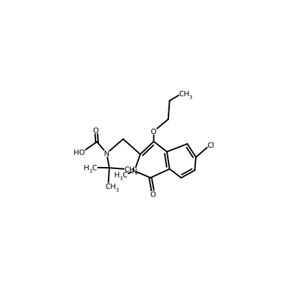 CCCOc1c(CN(C(=O)O)C(C)(C)C)n(C)c(=O)c2ccc(Cl)cc12